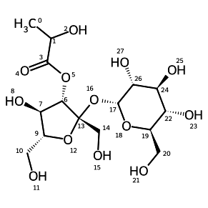 CC(O)C(=O)O[C@H]1[C@H](O)[C@@H](CO)O[C@@]1(CO)O[C@H]1O[C@H](CO)[C@@H](O)[C@H](O)[C@H]1O